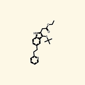 CCOC(=O)Cc1[nH]c2ccc(CCc3ccccn3)cc2c1SC(C)(C)C